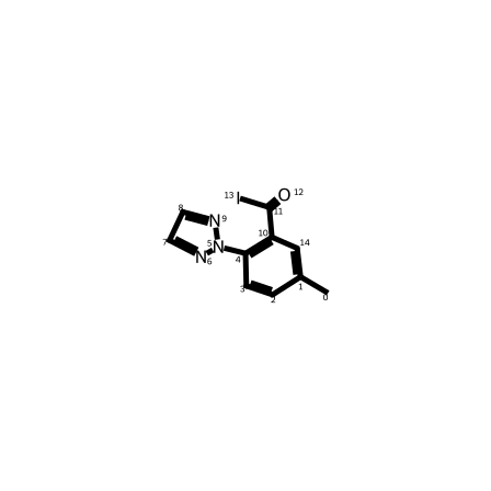 Cc1ccc(-n2nccn2)c(C(=O)I)c1